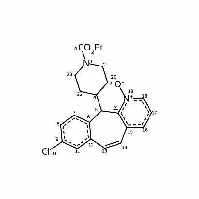 CCOC(=O)N1CCC(C2c3ccc(Cl)cc3C=Cc3ccc[n+]([O-])c32)CC1